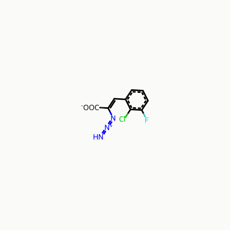 N=[N+]=N/C(=C\c1cccc(F)c1Cl)C(=O)[O-]